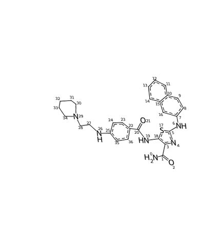 NC(=O)c1nc(Nc2ccc3ccccc3c2)sc1NC(=O)c1ccc(NCCN2CCCCC2)cc1